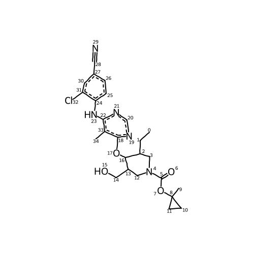 CCC1CN(C(=O)OC2(C)CC2)CC(CO)C1Oc1ncnc(Nc2ccc(C#N)cc2Cl)c1C